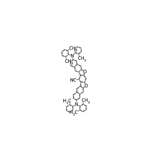 Cc1ccccc1N(c1ccc2cc3c(cc2c1)oc1cc2oc4cc5cc(N(c6ccccc6C)c6c(C)cccc6C)ccc5cc4c2c(C#N)c13)c1c(C)cccc1C